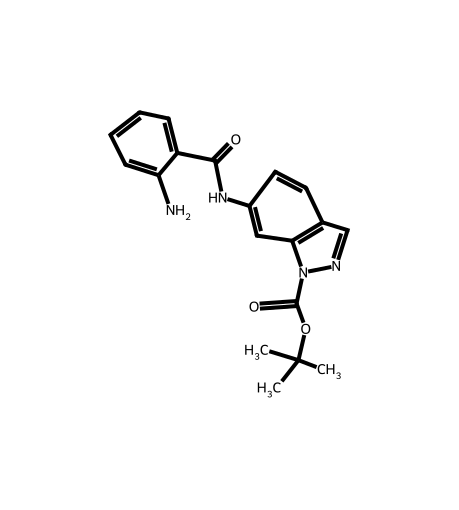 CC(C)(C)OC(=O)n1ncc2ccc(NC(=O)c3ccccc3N)cc21